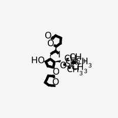 CC(C)(C)[Si](C)(C)OC[C@@H]1[C@@H](CC(I)[C@@H]2CCCC(=O)O2)[C@H](O)C[C@H]1OC1CCCCO1